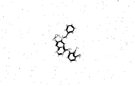 COc1cc2ncnc(Oc3cccc(Br)c3F)c2cc1OCc1ccccc1